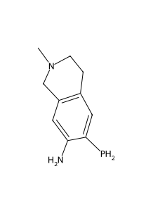 CN1CCc2cc(P)c(N)cc2C1